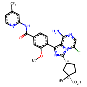 CCOc1cc(C(=O)Nc2cc(C(F)(F)F)ccn2)ccc1-c1nc([C@@H]2CC[C@@](C(=O)O)(C(C)C)C2)n2c(Cl)cnc(N)c12